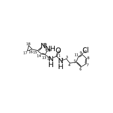 O=C(NCCc1cccc(Cl)c1)Nc1cc(C2CC2)n[nH]1